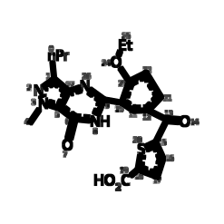 CCCc1nn(C)c2c(=O)[nH]c(-c3cc(C(=O)c4ccc(C(=O)O)s4)ccc3OCC)nc12